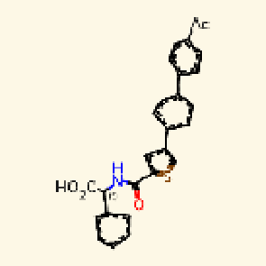 CC(=O)c1ccc(-c2ccc(-c3csc(C(=O)N[C@H](C(=O)O)c4ccccc4)c3)cc2)cc1